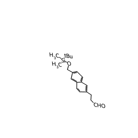 CC(C)(C)[Si](C)(C)OCc1ccc2cc(CCC=O)ccc2c1